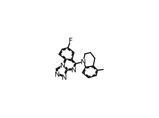 Cc1cccc2c1CCCN2c1nc2nncn2c2ccc(F)cc12